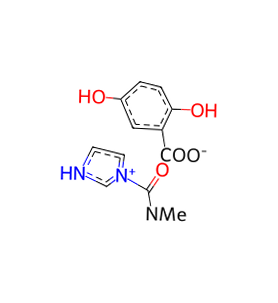 CNC(=O)[n+]1cc[nH]c1.O=C([O-])c1cc(O)ccc1O